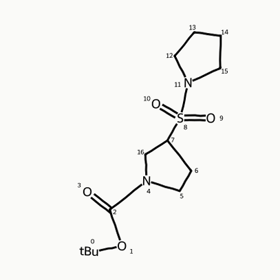 CC(C)(C)OC(=O)N1CCC(S(=O)(=O)N2CCCC2)C1